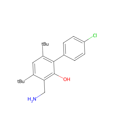 CC(C)(C)c1cc(C(C)(C)C)c(-c2ccc(Cl)cc2)c(O)c1CN